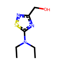 CCN(CC)c1nc(CO)ns1